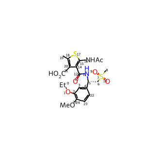 CCOc1cc([C@@H](CS(C)(=O)=O)NC(=O)c2c(NC(C)=O)sc(C)c2C(=O)O)ccc1OC